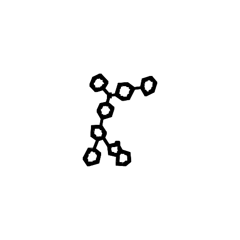 c1ccc(-c2ccc(N(c3ccccc3)c3ccc(-c4ccc(-c5ccccc5)c(-c5cc6ccccc6o5)c4)cc3)cc2)cc1